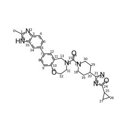 Cc1nc2ccc(-c3ccc4c(c3)CN(C(=O)N3CCC(c5noc(C6CC6)n5)CC3)CCO4)cc2[nH]1